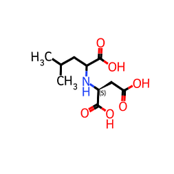 CC(C)CC(N[C@@H](CC(=O)O)C(=O)O)C(=O)O